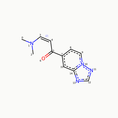 CN(C)/C=C\C(=O)c1ccn2ncnc2c1